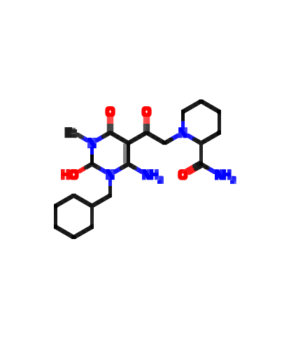 CCN1C(=O)C(C(=O)CN2CCCCC2C(N)=O)=C(N)N(CC2CCCCC2)C1O